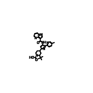 Cc1ccc(-n2nc(C3CCN(C(=O)O)C(C(C)(C)C)C3)cc2NC(=O)c2cnn3cccnc23)nc1